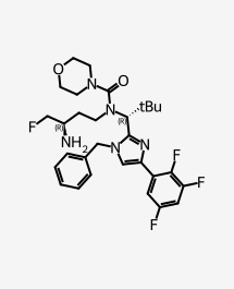 CC(C)(C)[C@H](c1nc(-c2cc(F)cc(F)c2F)cn1Cc1ccccc1)N(CC[C@@H](N)CF)C(=O)N1CCOCC1